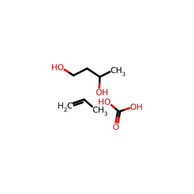 C=CC.CC(O)CCO.O=C(O)O